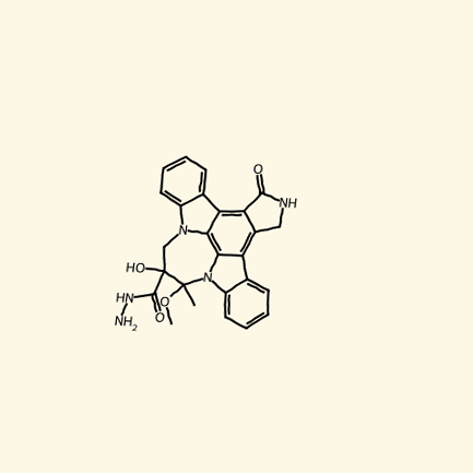 COC1(C)n2c3ccccc3c3c4c(c5c6ccccc6n(c5c32)CC1(O)C(=O)NN)C(=O)NC4